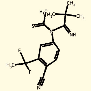 CC(=S)N(C(=N)C(C)(C)C)c1ccc(C#N)c(C(C)(F)F)c1